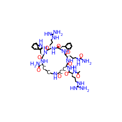 CC(=O)N[C@@H](CCCNC(=N)N)C(=O)N[C@H]1CCC(=O)NCCCC[C@@H](C(N)=O)NC(=O)[C@H](Cc2c[nH]c3ccccc23)NC(=O)[C@H](CCCNC(=N)N)NC(=O)[C@@H](Cc2ccccc2)NC(=O)[C@H](CCCNC(N)=O)NC1=O